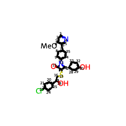 COc1ccncc1-c1ccc(N2C(=O)[C@H](SC[C@@H](O)c3ccc(Cl)cc3)[C@H]2c2ccc(O)cc2)cc1